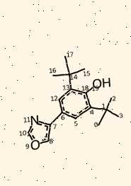 CC(C)(C)c1cc(-c2co[c]n2)cc(C(C)(C)C)c1O